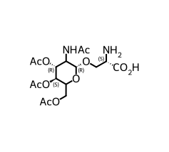 CC(=O)NC1[C@H](OC[C@H](N)C(=O)O)OC(COC(C)=O)[C@@H](OC(C)=O)[C@@H]1OC(C)=O